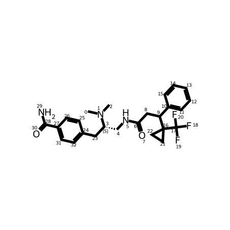 CN(C)[C@H](CNC(=O)CC(c1ccccc1)C1(C(F)(F)F)CC1)Cc1ccc(C(N)=O)cc1